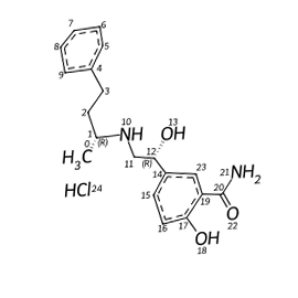 C[C@H](CCc1ccccc1)NC[C@H](O)c1ccc(O)c(C(N)=O)c1.Cl